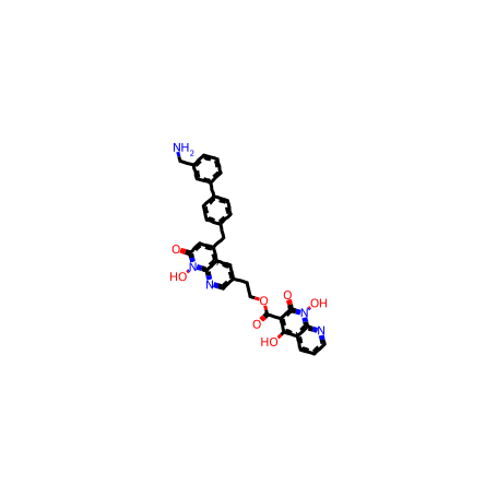 NCc1cccc(-c2ccc(Cc3cc(=O)n(O)c4ncc(CCOC(=O)c5c(O)c6cccnc6n(O)c5=O)cc34)cc2)c1